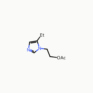 CCc1cncn1CCOC(C)=O